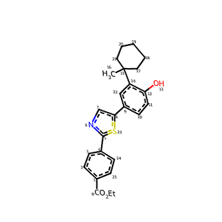 CCOC(=O)c1ccc(-c2ncc(-c3ccc(O)c(C4(C)CCCCC4)c3)s2)cc1